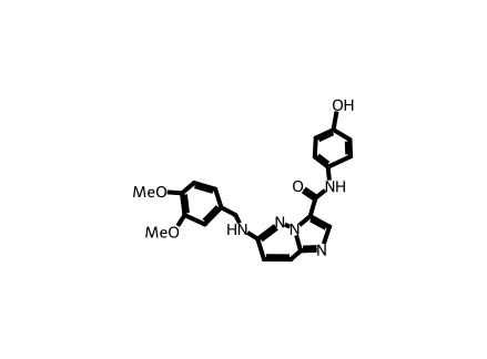 COc1ccc(CNc2ccc3ncc(C(=O)Nc4ccc(O)cc4)n3n2)cc1OC